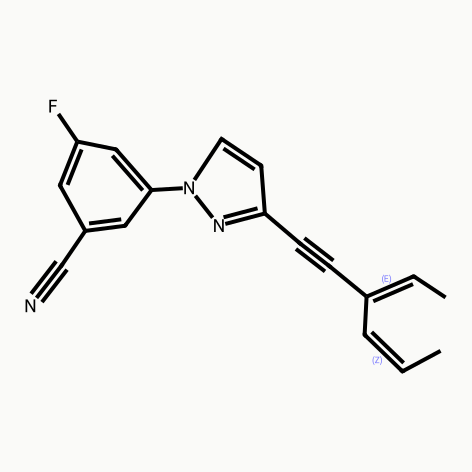 C/C=C\C(C#Cc1ccn(-c2cc(F)cc(C#N)c2)n1)=C/C